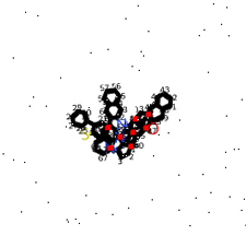 CC1C/C=C(c2ccc(-c3ccccc3)cc2)/N=C(c2ccc3c(c2)sc2ccccc23)\N=C/1c1cc2oc3cc4ccccc4cc3c2cc1-n1c2cc3ccccc3cc2c2cc3ccccc3cc21